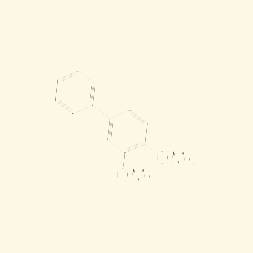 COc1[c]c(-c2ccccc2)ccc1OC